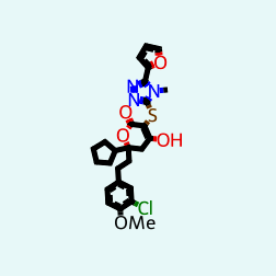 COc1ccc(CCC2(C3CCCC3)CC(O)=C(Sc3nnc(-c4ccco4)n3C)C(=O)O2)cc1Cl